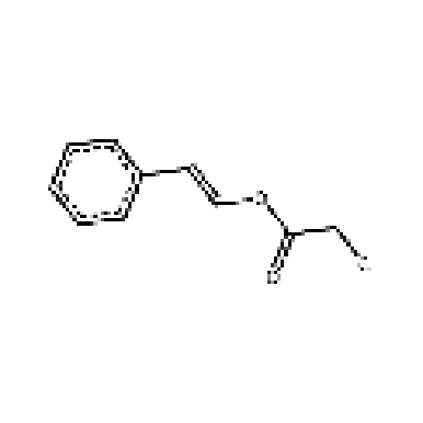 O=C(CCl)O/C=C/c1ccccc1